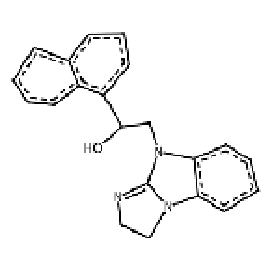 OC(CN1C2=NCCN2c2ccccc21)c1cccc2ccccc12